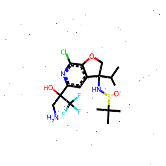 CC(C)C1(N[S+]([O-])C(C)(C)C)COc2c1cc(C(O)(CN)C(F)(F)F)nc2Cl